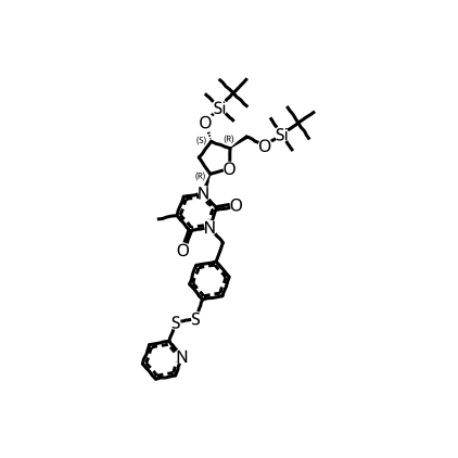 Cc1cn([C@H]2C[C@H](O[Si](C)(C)C(C)(C)C)[C@@H](CO[Si](C)(C)C(C)(C)C)O2)c(=O)n(Cc2ccc(SSc3ccccn3)cc2)c1=O